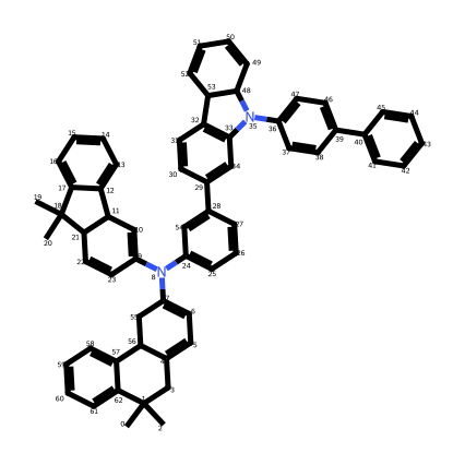 CC1(C)CC2=CC=C(N(C3=CC4c5ccccc5C(C)(C)C4C=C3)c3cccc(-c4ccc5c(c4)N(c4ccc(-c6ccccc6)cc4)C4C=CC=CC54)c3)CC2c2ccccc21